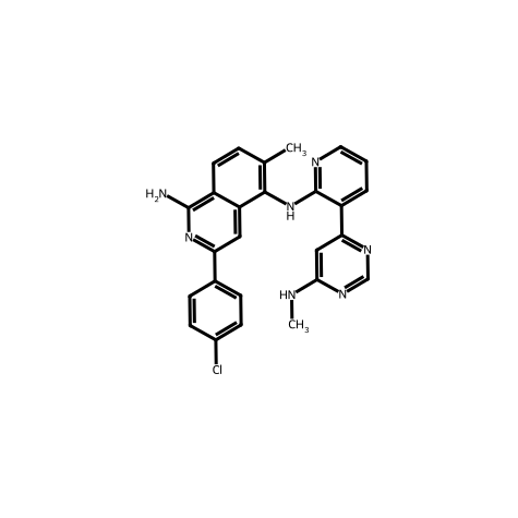 CNc1cc(-c2cccnc2Nc2c(C)ccc3c(N)nc(-c4ccc(Cl)cc4)cc23)ncn1